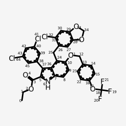 CCOC(=O)c1[nH]c2ccc(OCc3ccc(OC(F)(F)F)cc3)c(Cc3cc4c(cc3Cl)OCO4)c2c1-c1cc(Cl)cc(Cl)c1